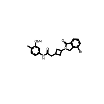 COc1cc(NC(=O)CC2CC(N3Cc4c(Br)cccc4C3=O)C2)ccc1C